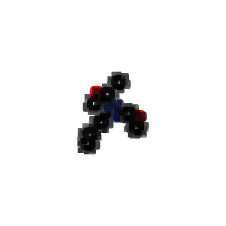 C1=CC2Oc3cc(-c4ccccc4)cc(-c4nc(-c5ccc(-c6ccc7ccccc7c6)cc5)nc(-c5ccc6oc7ccccc7c6c5)n4)c3C2C=C1